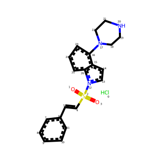 Cl.O=S(=O)(C=Cc1ccccc1)n1ccc2c(N3CCNCC3)cccc21